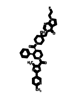 Cc1ccc(-c2nc(C)c(C(=O)N3CC[C@@H](C(=O)N4CCC(O)(Cn5cnc6c(ccn6CCF)c5=O)CC4)[C@H](c4ccccc4)C3)s2)cn1